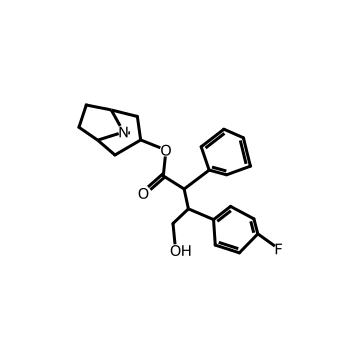 CN1C2CCC1CC(OC(=O)C(c1ccccc1)C(CO)c1ccc(F)cc1)C2